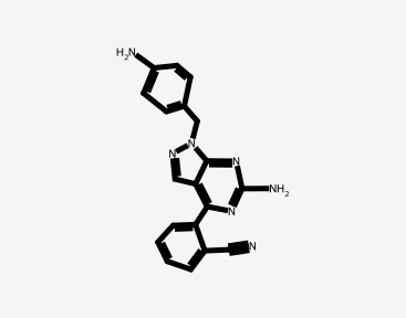 N#Cc1ccccc1-c1nc(N)nc2c1cnn2Cc1ccc(N)cc1